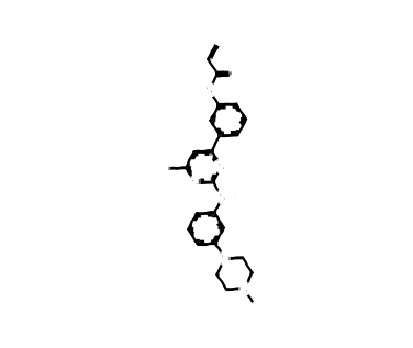 C=CC(=O)Nc1cccc(-c2cc(Cl)nc(Nc3cccc(N4CCN(C)CC4)c3)n2)c1